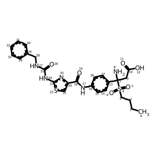 CCCCS(=O)(=O)C(N)(CC(=O)O)c1ccc(NC(=O)c2csc(NC(=O)NCc3ccccc3)n2)cc1